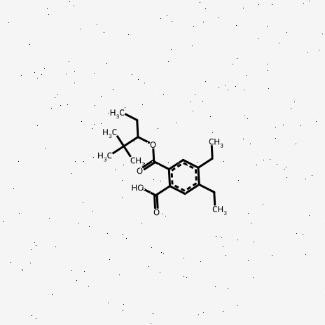 CCc1cc(C(=O)O)c(C(=O)OC(CC)C(C)(C)C)cc1CC